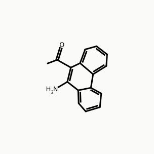 CC(=O)c1c(N)c2ccccc2c2ccccc12